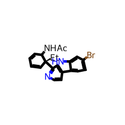 CC[C@@]1(c2nccc3c2[nH]c2cc(Br)ccc23)C=CC=CC1NC(C)=O